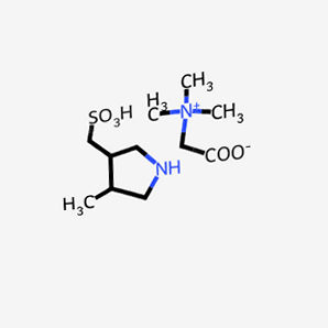 CC1CNCC1CS(=O)(=O)O.C[N+](C)(C)CC(=O)[O-]